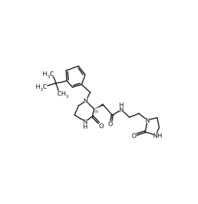 CC(C)(C)c1cccc(CN2CCNC(=O)[C@@H]2CC(=O)NCCN2CCNC2=O)c1